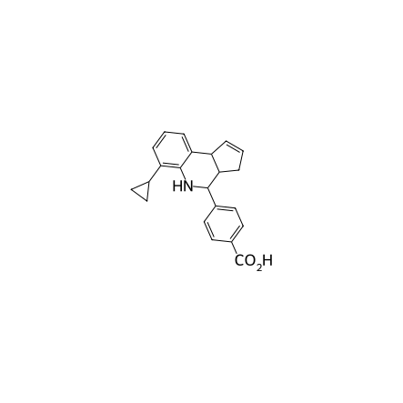 O=C(O)c1ccc(C2Nc3c(C4CC4)cccc3C3C=CCC32)cc1